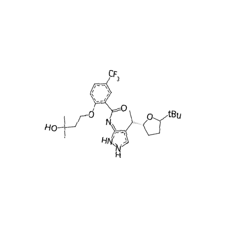 CC(c1c[nH][nH]/c1=N/C(=O)c1cc(C(F)(F)F)ccc1OCCC(C)(C)O)[C@H]1CCC(C(C)(C)C)O1